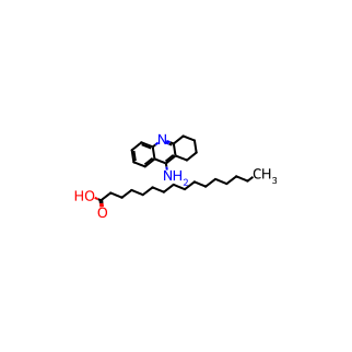 CCCCCCCCCCCCCCCC(=O)O.Nc1c2c(nc3ccccc13)CCCC2